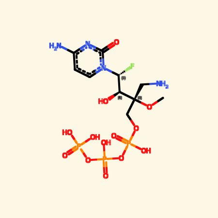 CO[C@](CN)(COP(=O)(O)OP(=O)(O)OP(=O)(O)O)[C@@H](O)[C@@H](F)n1ccc(N)nc1=O